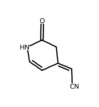 N#CC=C1C=CNC(=O)C1